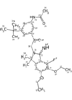 CCOc1cc2c(c(F)c1OCC)C(=N)N(CC(=O)c1cc(NC(C)=O)cc(C(C)(C)C)c1)C2(C)C